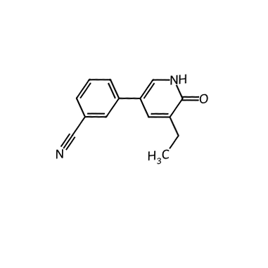 CCc1cc(-c2cccc(C#N)c2)c[nH]c1=O